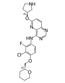 Fc1c(Nc2ncnc3ccc(O[C@H]4CCNC4)nc23)ccc(OC[C@@H]2CCCCO2)c1Cl